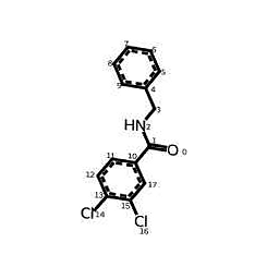 O=C(NCc1ccccc1)c1ccc(Cl)c(Cl)c1